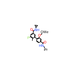 COCOc1cc(C(=O)NCC(C)C)ccc1-c1cc(C(=O)NC2CC2)cc(F)c1C